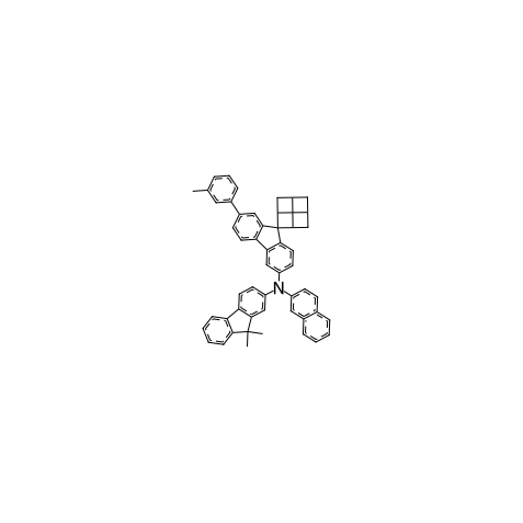 Cc1cccc(-c2ccc3c(c2)C2(c4ccc(N(c5ccc6c(c5)C(C)(C)c5ccccc5-6)c5ccc6ccccc6c5)cc4-3)C3CC4CC5CC2C453)c1